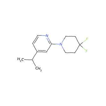 CC(C)c1ccnc(N2CCC(F)(F)CC2)c1